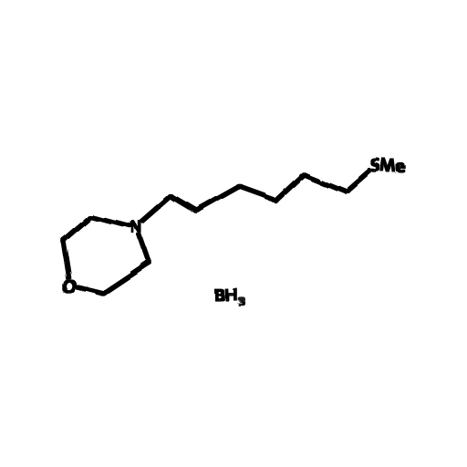 B.CSCCCCCCN1CCOCC1